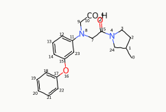 CC1CCN(C(=O)CN(CC(=O)O)c2cccc(Oc3ccccc3)c2)C1